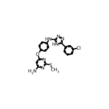 CSc1nc(N)cc(Oc2ccc(Nc3nnc(-c4cccc(Cl)c4)[nH]3)cc2)n1